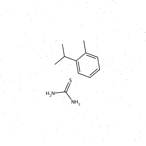 Cc1ccccc1C(C)C.NC(N)=S